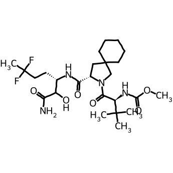 COC(=O)N[C@H](C(=O)N1CC2(CCCCC2)C[C@H]1C(=O)N[C@@H](CCC(C)(F)F)C(O)C(N)=O)C(C)(C)C